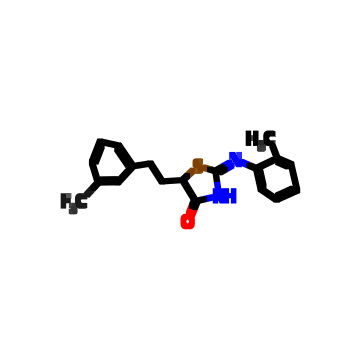 Cc1ccccc1N=C1NC(=O)C(CCc2cccc(C(F)(F)F)c2)S1